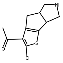 CC(=O)c1c(Cl)sc2c1CC1CNCC21